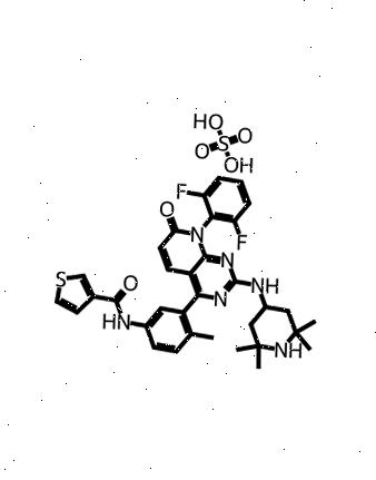 Cc1ccc(NC(=O)c2ccsc2)cc1-c1nc(NC2CC(C)(C)NC(C)(C)C2)nc2c1ccc(=O)n2-c1c(F)cccc1F.O=S(=O)(O)O